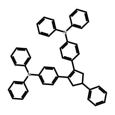 c1ccc(C2CC(c3ccc(N(c4ccccc4)c4ccccc4)cc3)=C(c3ccc(N(c4ccccc4)c4ccccc4)cc3)C2)cc1